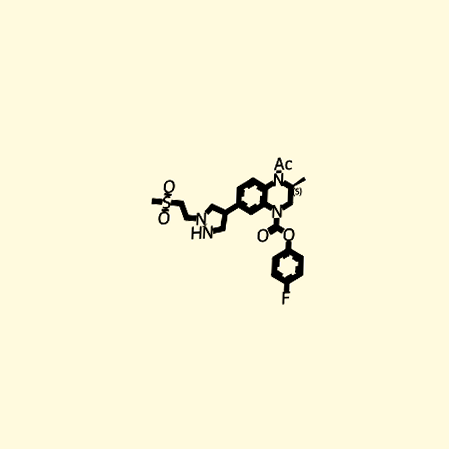 CC(=O)N1c2ccc(C3CNN(CCS(C)(=O)=O)C3)cc2N(C(=O)Oc2ccc(F)cc2)C[C@@H]1C